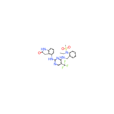 CCN(c1ccccc1CNc1nc(Nc2cccc3c2CC(=O)N3)ncc1C(F)(F)F)S(C)(=O)=O